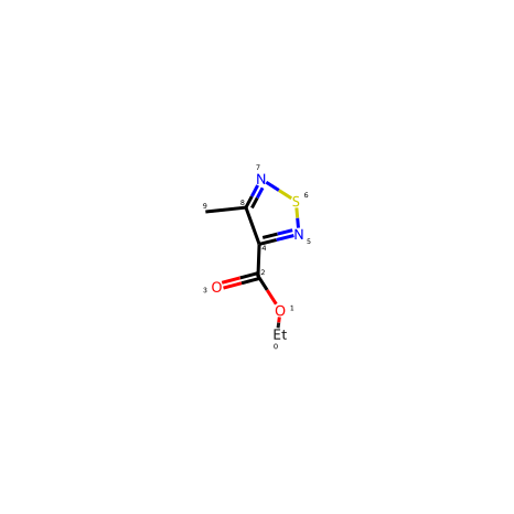 CCOC(=O)c1nsnc1C